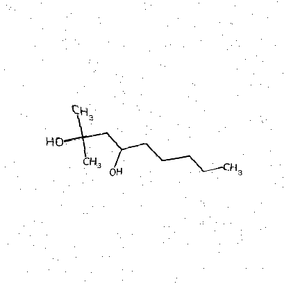 CCCCCC(O)CC(C)(C)O